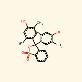 Cc1cc(C2(c3cc(C)c(O)cc3C(C)C)OS(=O)(=O)c3ccccc32)c(C(C)C)cc1O